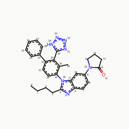 CCCCc1nc2ccc(N3CCCC3=O)cc2n1-c1ccc(-c2ccccc2)c(-c2nnn[nH]2)c1C